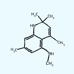 CNc1cc(C)cc2c1C(C)=CC(C)(C)N2